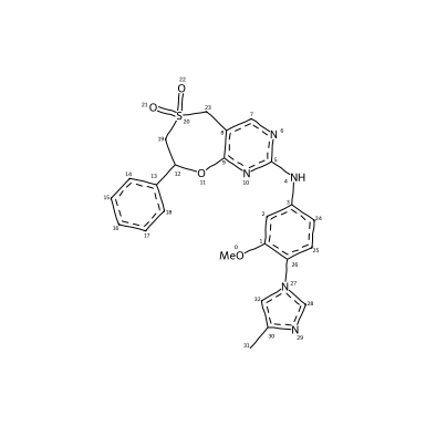 COc1cc(Nc2ncc3c(n2)OC(c2ccccc2)CS(=O)(=O)C3)ccc1-n1cnc(C)c1